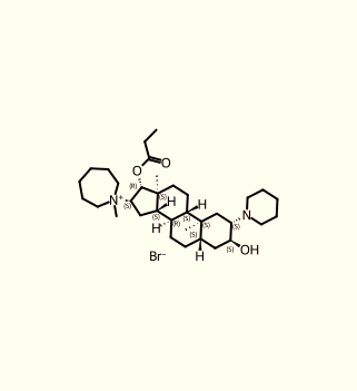 CCC(=O)O[C@H]1[C@@H]([N+]2(C)CCCCCC2)C[C@H]2[C@@H]3CC[C@H]4C[C@H](O)[C@@H](N5CCCCC5)C[C@]4(C)[C@H]3CC[C@@]21C.[Br-]